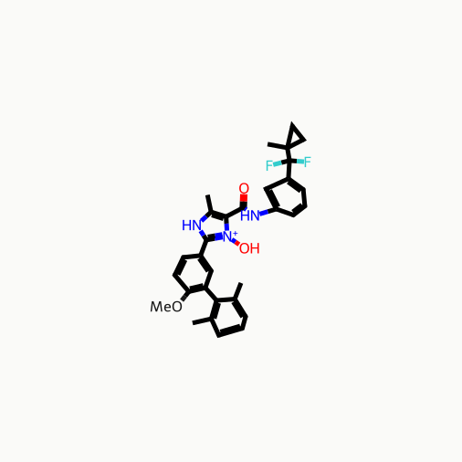 COc1ccc(-c2[nH]c(C)c(C(=O)Nc3cccc(C(F)(F)C4(C)CC4)c3)[n+]2O)cc1-c1c(C)cccc1C